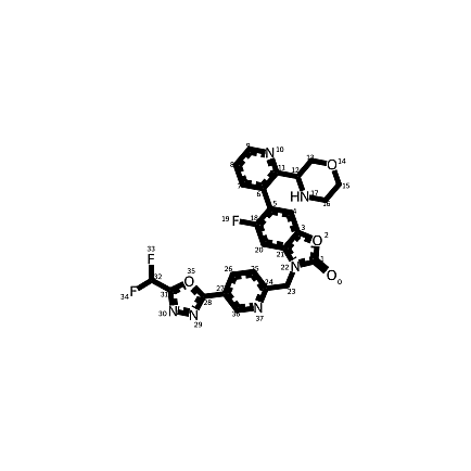 O=c1oc2cc(-c3cccnc3C3COCCN3)c(F)cc2n1Cc1ccc(-c2nnc(C(F)F)o2)cn1